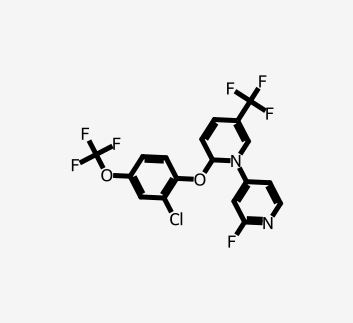 Fc1cc(N2C=C(C(F)(F)F)C=CC2Oc2ccc(OC(F)(F)F)cc2Cl)ccn1